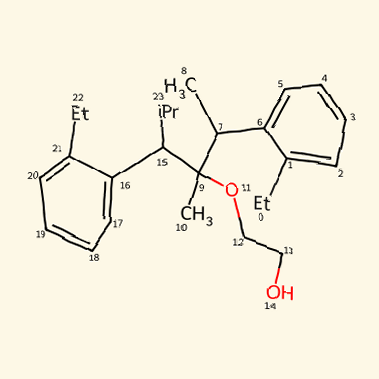 CCc1ccccc1C(C)C(C)(OCCO)C(c1ccccc1CC)C(C)C